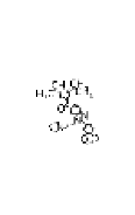 CC(C)CCN(CCC(C)C)C(=O)c1ccc2nc(-c3ccc4c(c3)OCCO4)n(CCCN3CCCCC3)c2c1